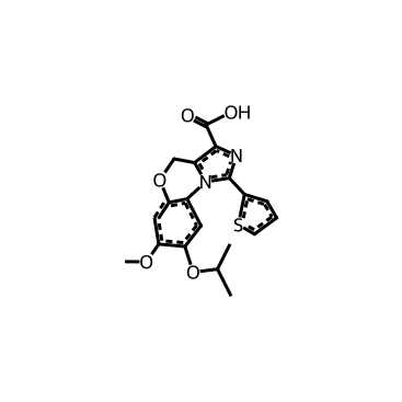 COc1cc2c(cc1OC(C)C)-n1c(-c3cccs3)nc(C(=O)O)c1CO2